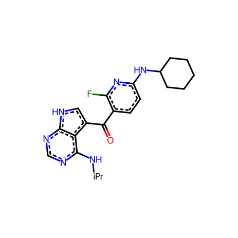 CC(C)Nc1ncnc2[nH]cc(C(=O)c3ccc(NC4CCCCC4)nc3F)c12